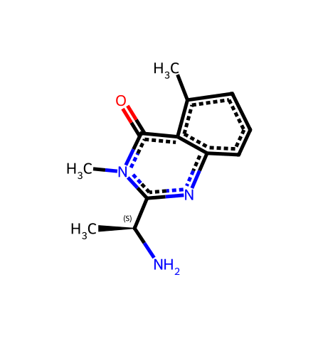 Cc1cccc2nc([C@H](C)N)n(C)c(=O)c12